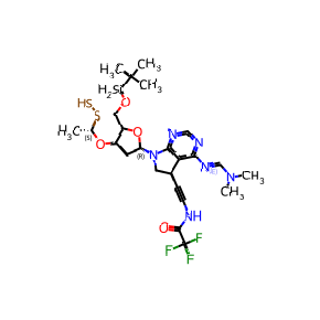 C[C@@H](OC1C[C@H](N2CC(C#CNC(=O)C(F)(F)F)c3c(/N=C/N(C)C)ncnc32)OC1CO[SiH2]C(C)(C)C)SS